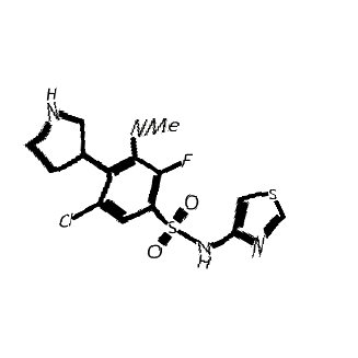 CNc1c(F)c(S(=O)(=O)Nc2cscn2)cc(Cl)c1C1CCNC1